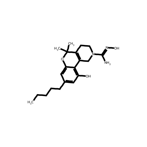 CCCCCc1cc(O)c2c(c1)OC(C)(C)C1=C2CN(C(N)=NO)CC1